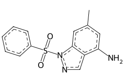 Cc1cc(N)c2cnn(S(=O)(=O)c3ccccc3)c2c1